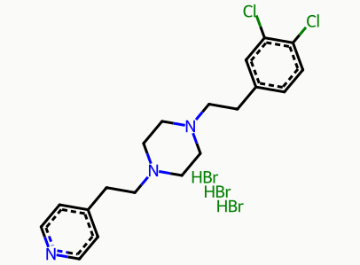 Br.Br.Br.Clc1ccc(CCN2CCN(CCc3ccncc3)CC2)cc1Cl